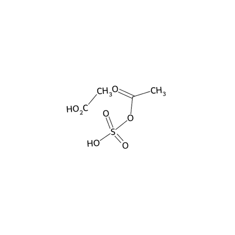 CC(=O)O.CC(=O)OS(=O)(=O)O